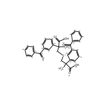 CC(CSCC(C)(C(=O)O)c1cccc(C(=O)c2ccccc2)c1)(C(=O)O)c1cccc(C(=O)c2ccccc2)c1